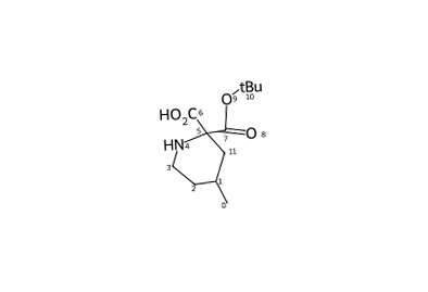 CC1CCNC(C(=O)O)(C(=O)OC(C)(C)C)C1